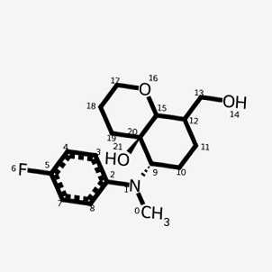 CN(c1ccc(F)cc1)[C@H]1CCC(CO)C2OCCC[C@]21O